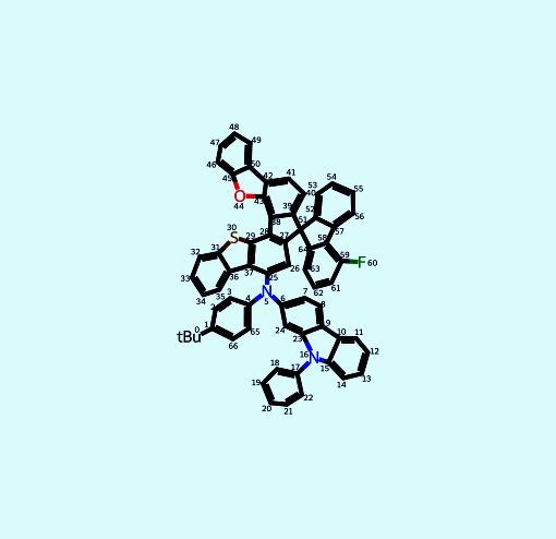 CC(C)(C)c1ccc(N(c2ccc3c4ccccc4n(-c4ccccc4)c3c2)c2cc3c(c4sc5ccccc5c24)-c2c(ccc4c2oc2ccccc24)C32c3ccccc3-c3c(F)cccc32)cc1